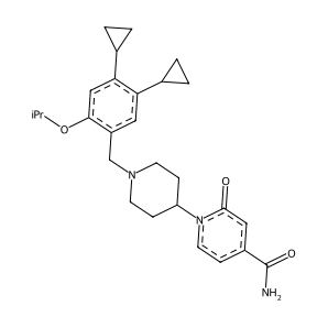 CC(C)Oc1cc(C2CC2)c(C2CC2)cc1CN1CCC(n2ccc(C(N)=O)cc2=O)CC1